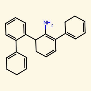 NC1=C(C2=CC=CCC2)C=CCC1c1ccccc1C1=CCCC=C1